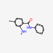 CNc1cc(C)ccc1C(=O)Nc1ccccc1